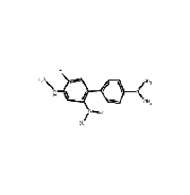 CCN(CC)c1cc(NN)c(F)cc1-c1ccc(N(C)C)cc1